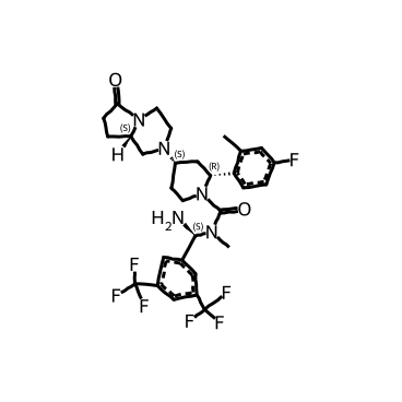 Cc1cc(F)ccc1[C@H]1C[C@@H](N2CCN3C(=O)CC[C@H]3C2)CCN1C(=O)N(C)[C@H](N)c1cc(C(F)(F)F)cc(C(F)(F)F)c1